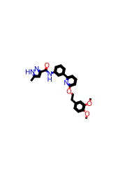 COc1ccc(CCOc2cccc(-c3cccc(NC(=O)c4cc(C)[nH]n4)c3)n2)cc1OC